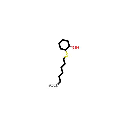 CCCCCCCCCCCCCCS[C@H]1CCCC[C@@H]1O